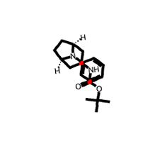 CC(C)(C)OC(=O)NC1C[C@H]2CC[C@@H](C1)N2c1ccccc1